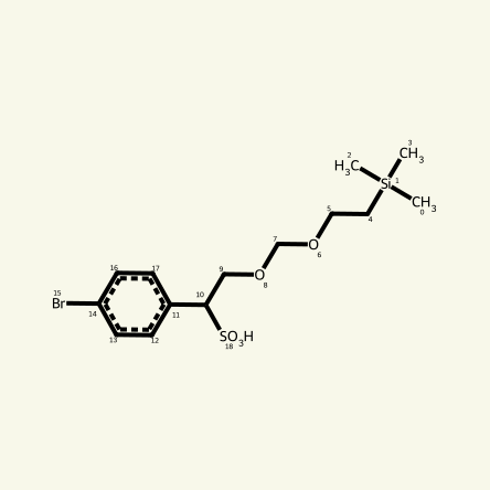 C[Si](C)(C)CCOCOCC(c1ccc(Br)cc1)S(=O)(=O)O